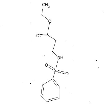 CCOC(=O)CCNS(=O)(=O)c1ccccc1